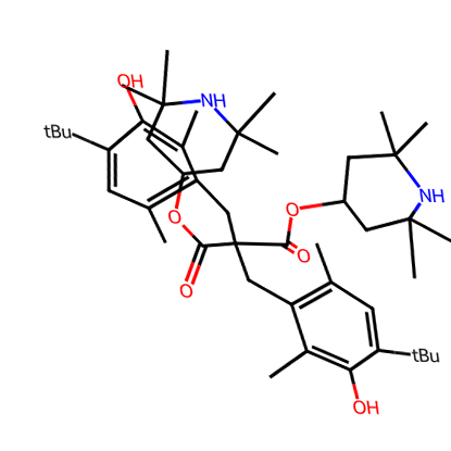 Cc1cc(C(C)(C)C)c(O)c(C)c1CC(Cc1c(C)cc(C(C)(C)C)c(O)c1C)(C(=O)OC1CC(C)(C)NC(C)(C)C1)C(=O)OC1CC(C)(C)NC(C)(C)C1